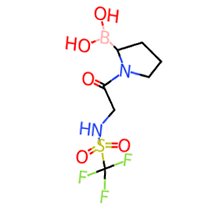 O=C(CNS(=O)(=O)C(F)(F)F)N1CCCC1B(O)O